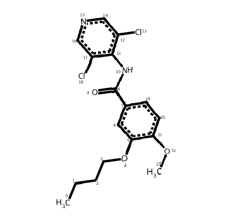 CCCCOc1cc(C(=O)Nc2c(Cl)cncc2Cl)ccc1OC